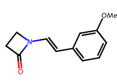 COc1cccc(C=CN2CCC2=O)c1